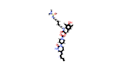 C=C/C=C\C=C1\CCN(C2CCN(C(=O)O[C@H](Cc3cc(C)c(O)c(C)c3)C(=O)N=C=C=CC=C=C=N[S+]([O-])N(C)C)CC2)C(=O)NC1